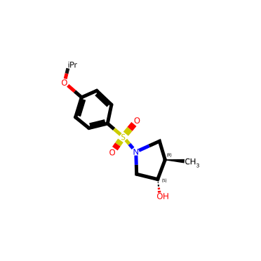 CC(C)Oc1ccc(S(=O)(=O)N2C[C@@H](C)[C@H](O)C2)cc1